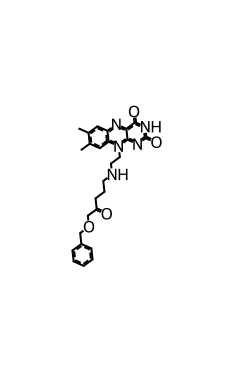 Cc1cc2nc3c(=O)[nH]c(=O)nc-3n(CCNCCCC(=O)COCc3ccccc3)c2cc1C